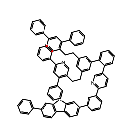 c1ccc(-c2ccc3c(c2)oc2cc(-c4cccc(-c5ccc(-c6ccccc6-c6cc(CCc7cnc(-c8ccccc8)cc7-c7ccccc7)cc(CCc7cnc(-c8ccccc8)cc7-c7ccccc7)c6)cn5)c4)ccc23)cc1